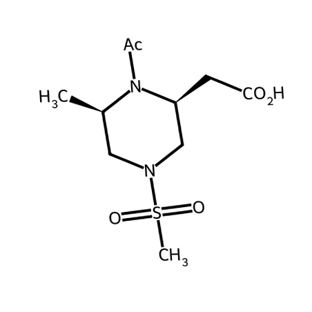 CC(=O)N1[C@@H](CC(=O)O)CN(S(C)(=O)=O)C[C@H]1C